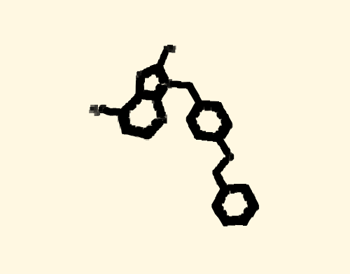 CCCc1nc2c(C)ccnc2n1Cc1ccc(OCc2ccccc2)cc1